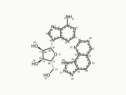 Nc1ncnc2c1ncn2[C@@H]1O[C@H](CO)[C@@H](O)[C@H]1O.c1ncc2ccc3nn[nH]c3c2n1